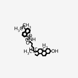 C[C@H](CCCC(=O)NS(=O)(=O)c1cccc2c(N(C)C)cccc12)[C@H]1CCC2C3CC=C4C[C@@H](O)CCC4(C)C3CC[C@@]21C